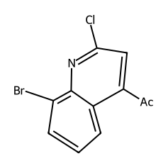 CC(=O)c1cc(Cl)nc2c(Br)cccc12